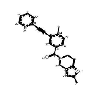 Cc1nc2c(o1)CCN(C(=O)c1ccc(C)c(C#Cc3ccccn3)c1)C2